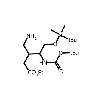 CCOC(=O)CC(CN)C(CO[Si](C)(C)C(C)(C)C)NC(=O)OC(C)(C)C